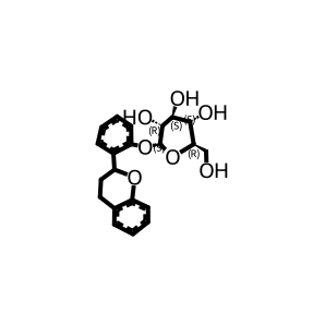 OC[C@H]1O[C@@H](Oc2ccccc2C2CCc3ccccc3O2)[C@H](O)[C@@H](O)[C@@H]1O